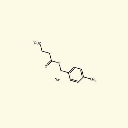 Cc1ccc(COC(=O)CCC(=O)[O-])cc1.[Na+]